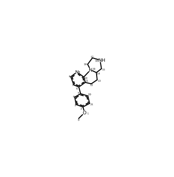 COc1ccc(-c2ccnc3c2CCC2CNCCN32)cc1